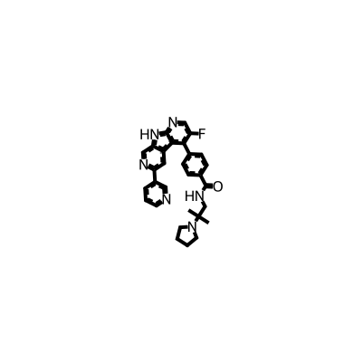 CC(C)(CNC(=O)c1ccc(-c2c(F)cnc3[nH]c4cnc(-c5cccnc5)cc4c23)cc1)N1CCCC1